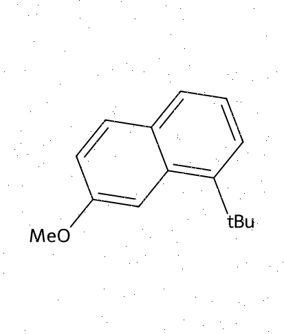 COc1ccc2cccc(C(C)(C)C)c2c1